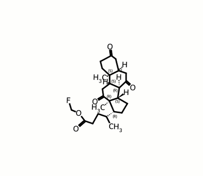 CC(CCC(=O)OCF)[C@H]1CC[C@H]2[C@@H]3C(=O)C[C@@H]4CC(=O)CC[C@]4(C)[C@H]3CC(=O)[C@]12C